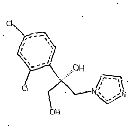 OC[C@](O)(Cn1ccnc1)c1ccc(Cl)cc1Cl